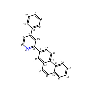 c1ccc(-c2ccnc(-c3ccc4c(ccc5ccccc54)c3)c2)cc1